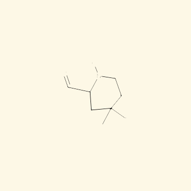 CN1CCC(F)(F)CC1C=O